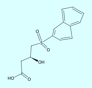 O=C(O)C[C@H](O)CS(=O)(=O)c1ccc2ccccc2c1